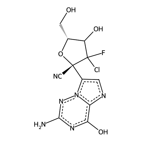 N#C[C@@]1(c2cnc3c(O)nc(N)nn23)O[C@H](CO)C(O)C1(F)Cl